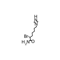 NC(=O)C(Br)CCCCCN1CNC1